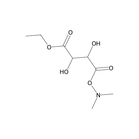 CCOC(=O)C(O)C(O)C(=O)ON(C)C